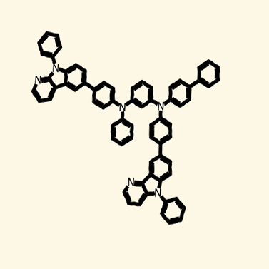 c1ccc(-c2ccc(N(c3ccc(-c4ccc5c(c4)c4ncccc4n5-c4ccccc4)cc3)c3cccc(N(c4ccccc4)c4ccc(-c5ccc6c(c5)c5cccnc5n6-c5ccccc5)cc4)c3)cc2)cc1